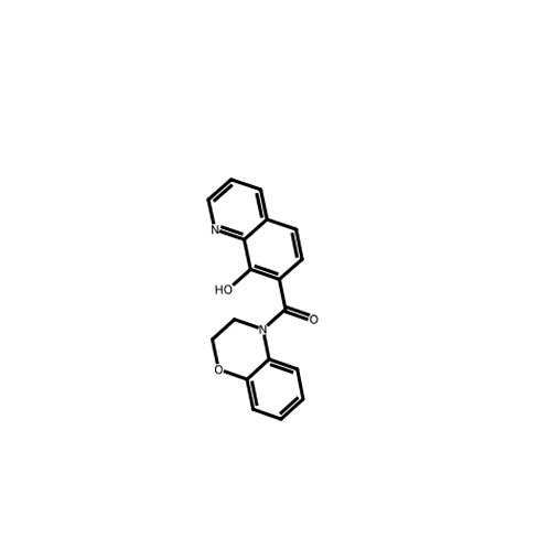 O=C(c1ccc2cccnc2c1O)N1CCOc2ccccc21